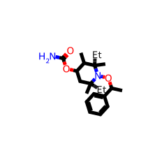 CCC1(C)CC(OC(N)=O)C(C)C(C)(CC)N1OC(C)c1ccccc1